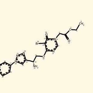 CCOC(=O)Cn1cnc(OC[C@H](N)c2cn(-c3ccccc3)nn2)c(Br)c1=O